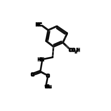 CC(C)(C)OC(=O)NCc1cc(C#N)ccc1C(=O)O